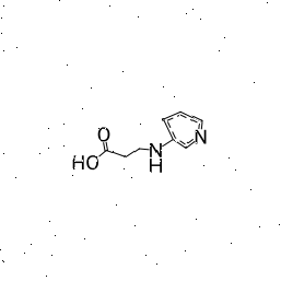 O=C(O)CCNc1cccnc1